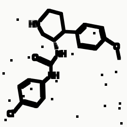 COc1ccc(C2CCNC[C@H]2NC(=O)Nc2ccc(Cl)cc2)cc1